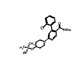 CNC(=O)c1cnc(N2CCC(O[Si](C)(C)C(C)(C)C)CC2)cc1-c1ccccc1Cl